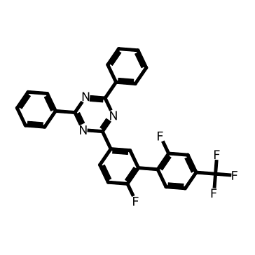 Fc1cc(C(F)(F)F)ccc1-c1cc(-c2nc(-c3ccccc3)nc(-c3ccccc3)n2)ccc1F